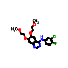 COCCOc1cc2ncnc(Nc3ccc(F)c(Cl)c3)c2cc1OCCOC